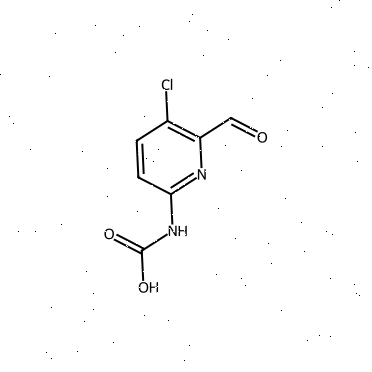 O=Cc1nc(NC(=O)O)ccc1Cl